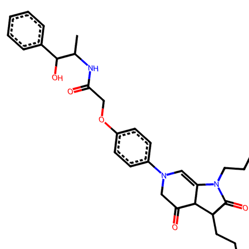 CCCC1C(=O)N(CCC)C2=CN(c3ccc(OCC(=O)NC(C)C(O)c4ccccc4)cc3)CC(=O)C21